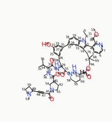 CCn1c(-c2cccnc2[C@H](C)OC)c2c3cc(ccc31)-c1cc(O)cc(c1)C[C@H](NC(=O)[C@H](C(C)C)N(C)C(=O)[C@H]1CCN(C(=O)C#C[C@@H]3CCN3C)C1)C(=O)N1CCC[C@H](N1)C(=O)OCC(C)(C)C2